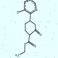 CCOC(=O)C1CCN(c2ncccc2Cl)CC1=O